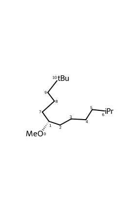 CO[C@@H](CCCCC(C)C)CCCC(C)(C)C